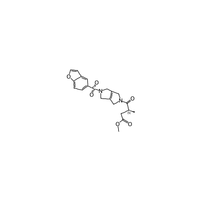 COC(=O)C[C@H](C)C(=O)N1CC2=C(C1)CN(S(=O)(=O)c1ccc3occc3c1)C2